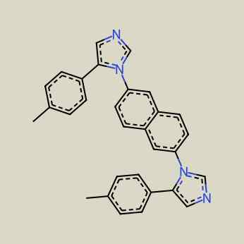 Cc1ccc(-c2cncn2-c2ccc3cc(-n4cncc4-c4ccc(C)cc4)ccc3c2)cc1